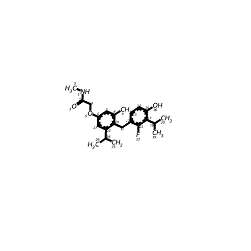 CNC(=O)COc1cc(C)c(Cc2ccc(O)c(C(C)C)c2F)c(C(C)C)c1